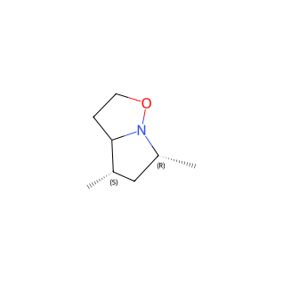 C[C@@H]1C[C@H](C)C2CCON21